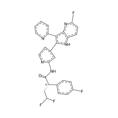 O=C(Nc1cc(-c2[nH]c3ccc(F)nc3c2-c2ccccn2)ccn1)[C@@H](CC(F)F)c1ccc(F)cc1